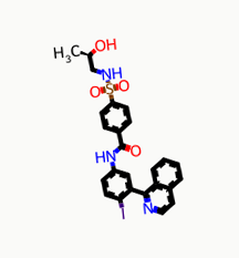 C[C@@H](O)CNS(=O)(=O)c1ccc(C(=O)Nc2ccc(I)c(-c3nccc4ccccc34)c2)cc1